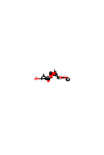 CN(C)CCNc1cc(F)cc(-c2nccc3[nH]c(-c4n[nH]c5c(F)cc(-c6cncc(NC(=O)Cc7ccccc7)c6)cc45)nc23)c1